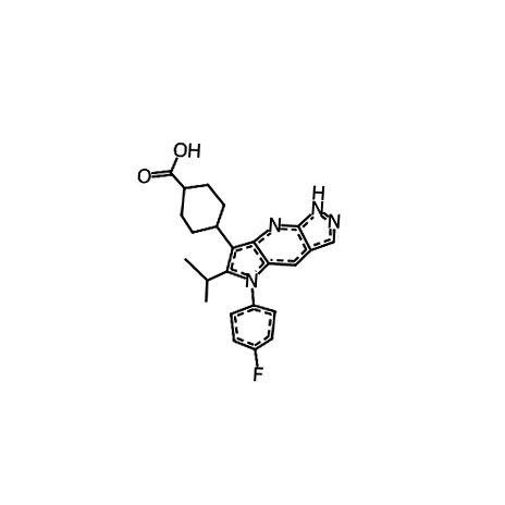 CC(C)c1c(C2CCC(C(=O)O)CC2)c2nc3[nH]ncc3cc2n1-c1ccc(F)cc1